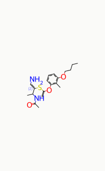 C=C(Oc1cccc(OCCCC)c1C)S/C(=C\N)C(C)NC(C)=O